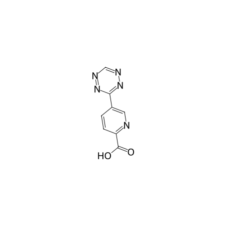 O=C(O)c1ccc(-c2nncnn2)cn1